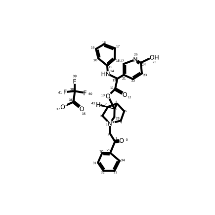 O=C(C[N+]12CCC(CC1)[C@@H](OC(=O)C(Nc1ccccc1)c1ccc(O)nc1)C2)c1ccccc1.O=C([O-])C(F)(F)F